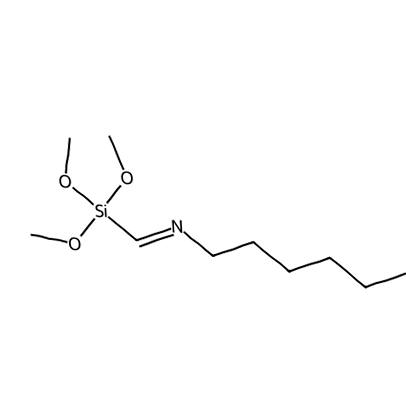 CCCCCCN=C[Si](OC)(OC)OC